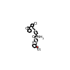 CCOc1cccc(F)c1CN1CCN(C(=O)[C@H](N)C2CCN(CCc3cc(Cl)ccc3-c3coc4ccccc34)CC2)CC1